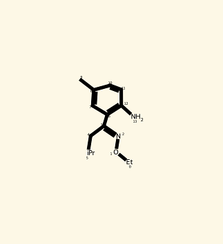 CCO/N=C(\CC(C)C)c1cc(C)ccc1N